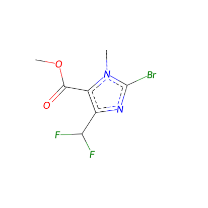 COC(=O)c1c(C(F)F)nc(Br)n1C